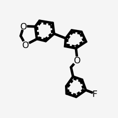 Fc1cccc(COc2cccc(-c3ccc4c(c3)OCO4)c2)c1